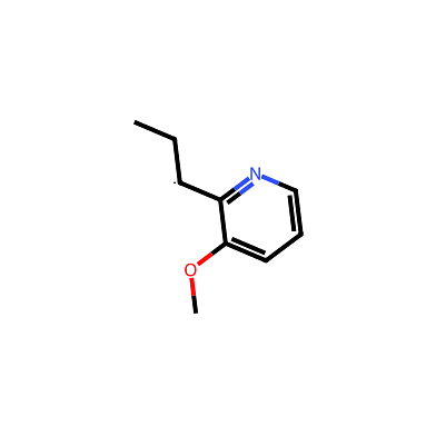 CC[CH]c1ncccc1OC